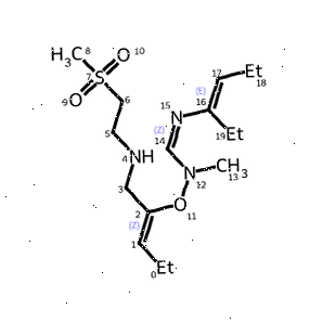 CC/C=C(/CNCCS(C)(=O)=O)ON(C)/C=N\C(=C\CC)CC